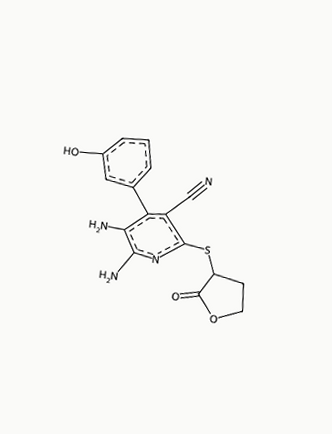 N#Cc1c(SC2CCOC2=O)nc(N)c(N)c1-c1cccc(O)c1